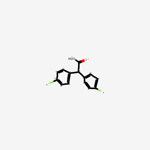 COC(=O)C(c1ccc(F)cc1)c1ccc(F)cc1